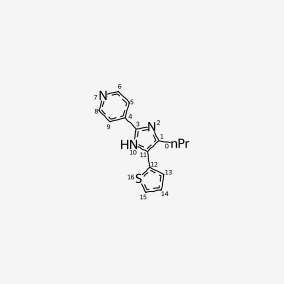 CCCc1nc(-c2ccncc2)[nH]c1-c1cccs1